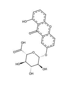 O=C(O)[C@@H]1O[C@H](Oc2ccc3oc4cccc(O)c4c(=O)c3c2)[C@@H](O)[C@H](O)[C@H]1O